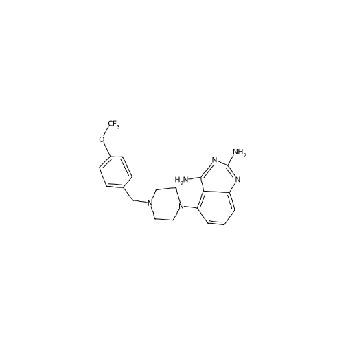 Nc1nc(N)c2c(N3CCN(Cc4ccc(OC(F)(F)F)cc4)CC3)cccc2n1